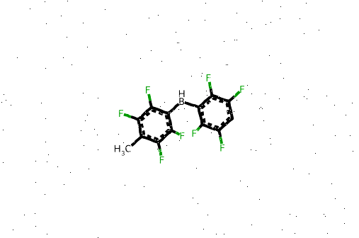 Cc1c(F)c(F)c(Bc2c(F)c(F)cc(F)c2F)c(F)c1F